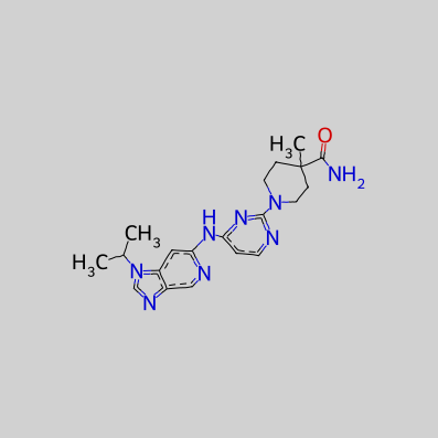 CC(C)n1cnc2cnc(Nc3ccnc(N4CCC(C)(C(N)=O)CC4)n3)cc21